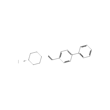 CC[C@H]1CC[C@H](C=Cc2ccc(-c3ccccc3)cc2)CC1